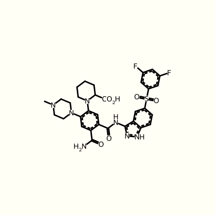 CN1CCN(c2cc(C(N)=O)c(C(=O)Nc3n[nH]c4ccc(S(=O)(=O)c5cc(F)cc(F)c5)cc34)cc2N2CCCCC2C(=O)O)CC1